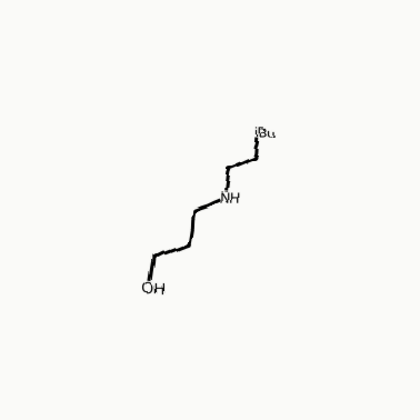 CCC(C)CCNCCCO